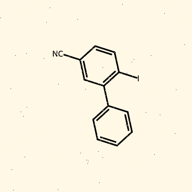 N#Cc1ccc(I)c(-c2ccccc2)c1